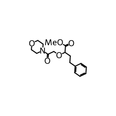 COC(=O)C(CCc1ccccc1)OCC(=O)N1CCOCC1